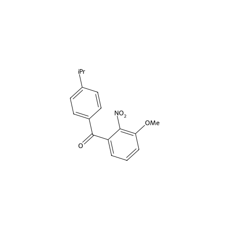 COc1cccc(C(=O)c2ccc(C(C)C)cc2)c1[N+](=O)[O-]